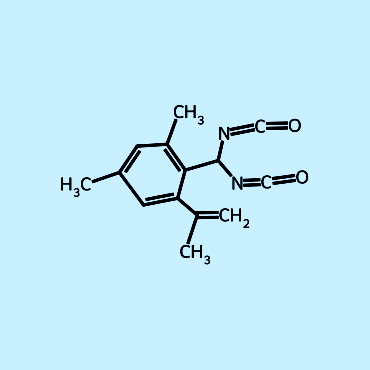 C=C(C)c1cc(C)cc(C)c1C(N=C=O)N=C=O